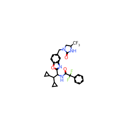 O=C1NC(C(F)(F)F)CN1Cc1ccc2oc(C(NC(=O)C(F)(F)c3ccccc3)C(C3CC3)C3CC3)nc2c1